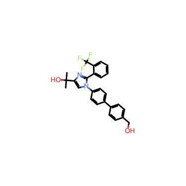 CC(C)(O)c1cn(-c2ccc(-c3ccc(CO)cc3)cc2)c(-c2ccccc2C(F)(F)F)n1